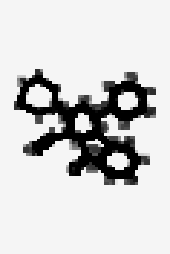 N#Cc1c(N2CCCCC2)cc(-c2ccccc2)c2c1C(=O)c1ccccc1-2